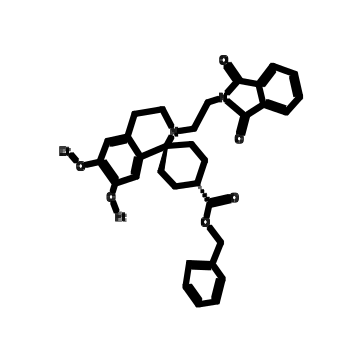 CCOc1cc2c(cc1OCC)[C@]1(CC[C@@H](C(=O)OCc3ccccc3)CC1)N(CCN1C(=O)c3ccccc3C1=O)CC2